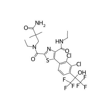 CCNC(=O)c1nc(C(=O)N(CC)CC(C)(C)C(N)=O)sc1-c1ccc(C(O)(C(F)(F)F)C(F)(F)F)c(Cl)c1Cl